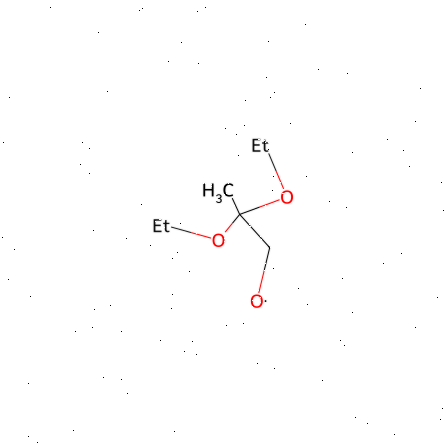 CCOC(C)(C[O])OCC